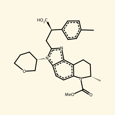 COC(=O)N1c2ccc3c(nc(C[C@@H](C(=O)O)c4ccc(C)cc4)n3[C@H]3CCCOC3)c2CC[C@@H]1C